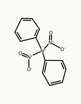 O=[N+]([O-])[N+](c1ccccc1)(c1ccccc1)[N+](=O)[O-]